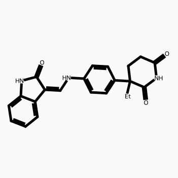 CCC1(c2ccc(NC=C3C(=O)Nc4ccccc43)cc2)CCC(=O)NC1=O